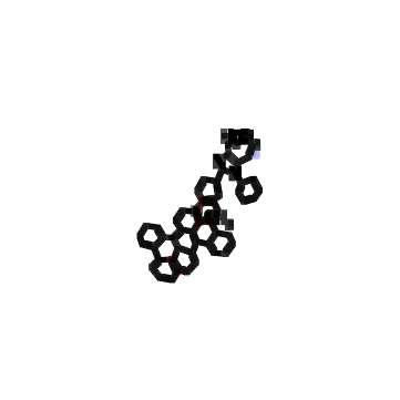 C=Cc1nc(-c2ccc([C@H]3C=CC4=C(C5=CCCC=C5c5ccccc5)C5CC=CC=C5C(C5=CC=CCC5c5ccccc5)=C4C3C)cc2)n(-c2ccccc2)c1/C=C\C